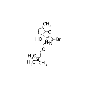 CN1CC[C@](O)(c2cc(Br)nn2COCC[Si](C)(C)C)C1=O